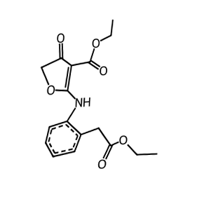 CCOC(=O)Cc1ccccc1NC1=C(C(=O)OCC)C(=O)CO1